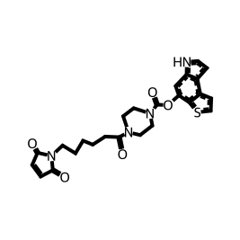 O=C(CCCCCN1C(=O)C=CC1=O)N1CCN(C(=O)Oc2cc3[nH]ccc3c3ccsc23)CC1